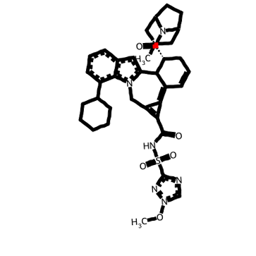 COn1cnc(S(=O)(=O)NC(=O)C2=C3Cn4c(cc5cccc(C6CCCCC6)c54)C4C(=C32)C=CC[C@H]4C(=O)N2C3CCC2CN(C)C3)n1